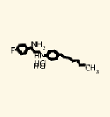 CCCCCCCCc1ccc(NCCC(N)c2ccc(F)cc2)cc1.Cl.Cl